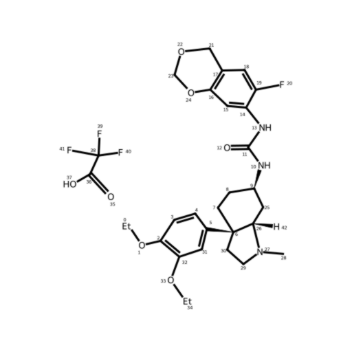 CCOc1ccc([C@@]23CC[C@@H](NC(=O)Nc4cc5c(cc4F)COCO5)C[C@@H]2N(C)CC3)cc1OCC.O=C(O)C(F)(F)F